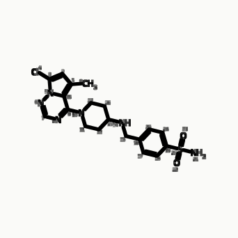 Cc1cc(Cl)n2ncnc(N3CCC(NCc4ccc(S(N)(=O)=O)cc4)CC3)c12